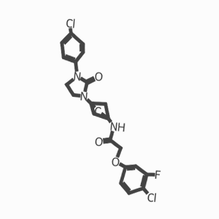 O=C(COc1ccc(Cl)c(F)c1)NC12CC(N3CCN(c4ccc(Cl)cc4)C3=O)(C1)C2